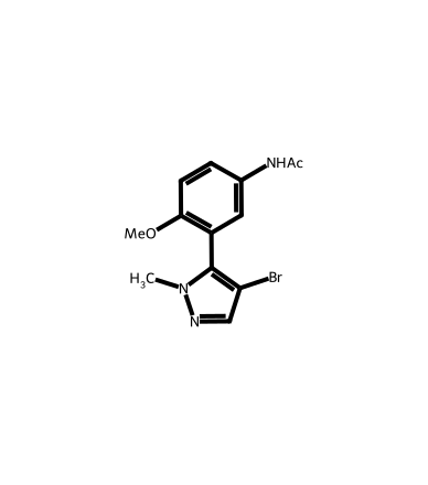 COc1ccc(NC(C)=O)cc1-c1c(Br)cnn1C